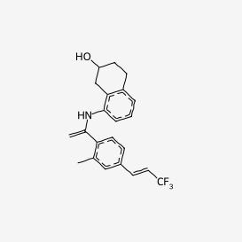 C=C(Nc1cccc2c1CC(O)CC2)c1ccc(/C=C/C(F)(F)F)cc1C